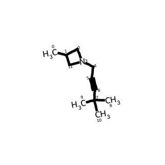 CC1CN(CC#CC(C)(C)C)C1